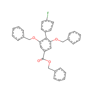 O=C(OCc1ccccc1)c1cc(OCc2ccccc2)c(-c2ccc(F)cc2)c(OCc2ccccc2)c1